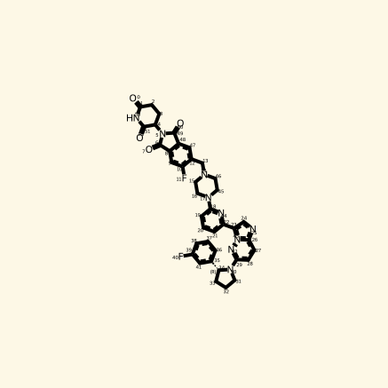 O=C1CCC(N2C(=O)c3cc(F)c(CN4CCN(c5cccc(-c6cnc7ccc(N8CCC[C@@H]8c8cccc(F)c8)nn67)n5)CC4)cc3C2=O)C(=O)N1